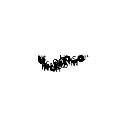 C[n+]1ccc(-c2nnc([C@@H]3CC[C@@H]4CN3C(=O)N4OS(=O)(=O)ON3C(=O)N4C[C@H]3CC[C@H]4c3nnc(-c4cc[n+](C)cc4)s3)s2)cc1